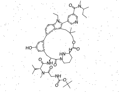 CCC(C)N(C)C(=O)c1cncc(-c2c3c4cc(ccc4n2CC)-c2cc(O)cc(c2)C[C@H](NC(=O)[C@H](C(C)C)N(C)C(=O)CNC(=O)OC(C)(C)C)C(=O)N2CCC[C@H](N2)C(=O)OCC(C)(C)C3)c1